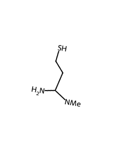 CNC(N)CCS